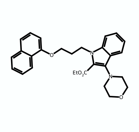 CCOC(=O)c1c(N2CCOCC2)c2ccccc2n1CCCOc1cccc2ccccc12